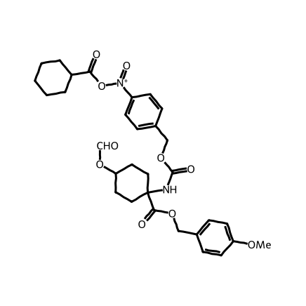 COc1ccc(COC(=O)C2(NC(=O)OCc3ccc([N+](=O)OC(=O)C4CCCCC4)cc3)CCC(OC=O)CC2)cc1